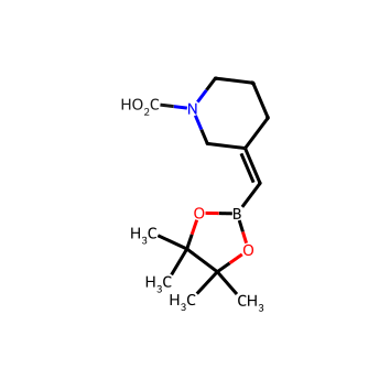 CC1(C)OB(/C=C2/CCCN(C(=O)O)C2)OC1(C)C